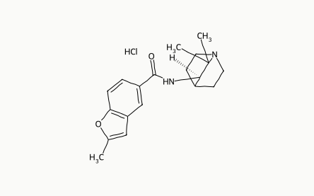 Cc1cc2cc(C(=O)N[C@@H]3C4CCN(CC4)C3(C)C)ccc2o1.Cl